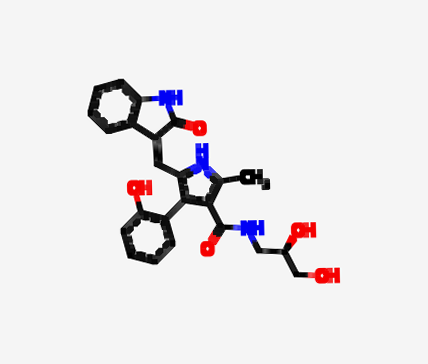 Cc1[nH]c(/C=C2\C(=O)Nc3ccccc32)c(-c2ccccc2O)c1C(=O)NC[C@@H](O)CO